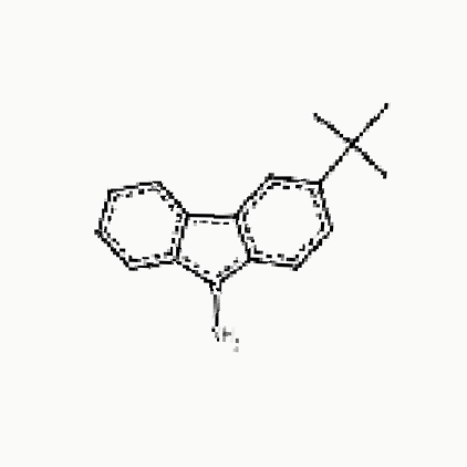 CC(C)(C)c1ccc2c(c1)c1ccccc1n2N